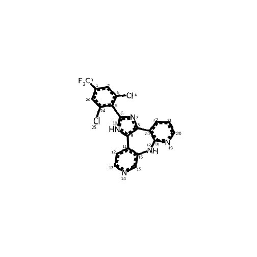 FC(F)(F)c1cc(Cl)c(-c2nc3c([nH]2)-c2ccncc2Nc2ncccc2-3)c(Cl)c1